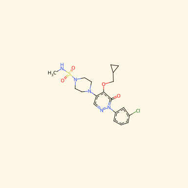 CNS(=O)(=O)N1CCN(c2cnn(-c3cccc(Cl)c3)c(=O)c2OCC2CC2)CC1